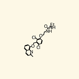 CCNC(=O)NCCOc1ccc(Cl)c(COc2cccc3ccc(C)nc23)c1Cl